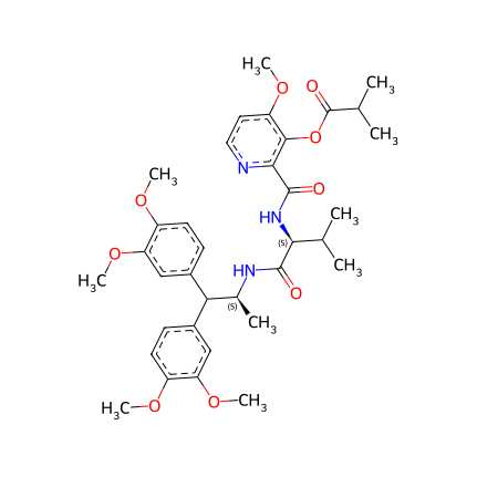 COc1ccc(C(c2ccc(OC)c(OC)c2)[C@H](C)NC(=O)[C@@H](NC(=O)c2nccc(OC)c2OC(=O)C(C)C)C(C)C)cc1OC